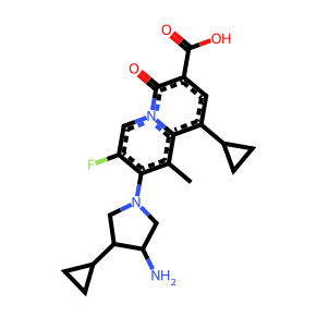 Cc1c(N2CC(N)C(C3CC3)C2)c(F)cn2c(=O)c(C(=O)O)cc(C3CC3)c12